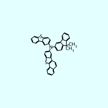 CC1(C)c2ccccc2-c2cc(N(c3ccc4sc5ccccc5c4c3)c3ccc4sc5c6ccccc6ccc5c4c3)ccc21